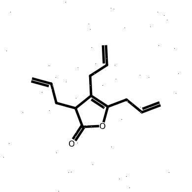 C=CCC1=C(CC=C)C(CC=C)C(=O)O1